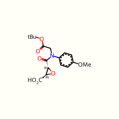 COc1ccc(N(CC(=O)OC(C)(C)C)C(=O)[C@@H]2O[C@H]2C(=O)O)cc1